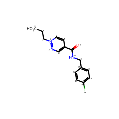 O=C(O)CC[n+]1ccc(C(=O)NCc2ccc(F)cc2)cn1